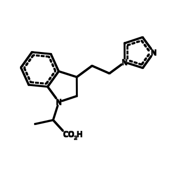 CC(C(=O)O)N1CC(CCn2ccnc2)c2ccccc21